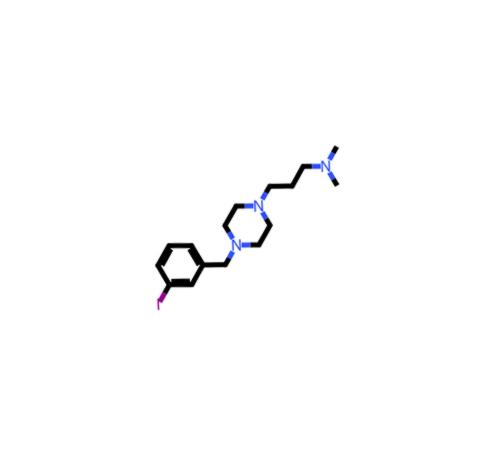 CN(C)CCCN1CCN(Cc2cccc(I)c2)CC1